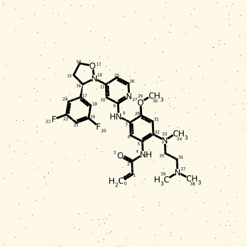 C=CC(=O)Nc1cc(Nc2cc(N3OCC[C@@H]3c3cc(F)cc(F)c3)ccn2)c(OC)cc1N(C)CCN(C)C